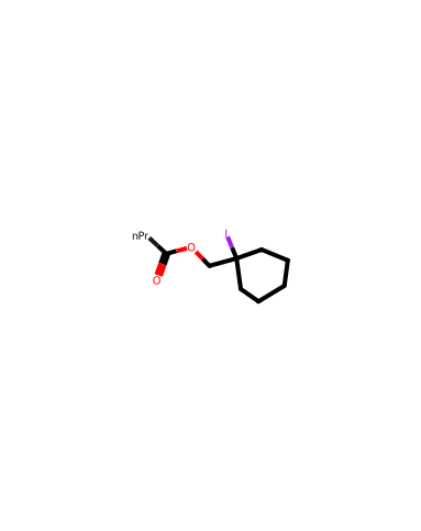 CCCC(=O)OCC1(I)CCCCC1